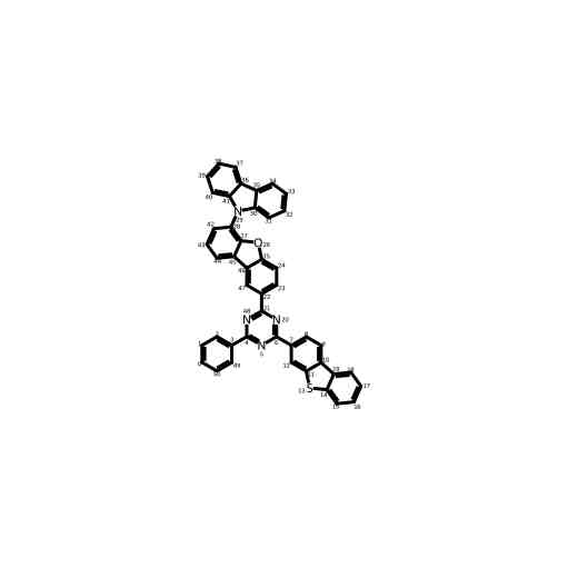 c1ccc(-c2nc(-c3ccc4c(c3)sc3ccccc34)nc(-c3ccc4oc5c(-n6c7ccccc7c7ccccc76)cccc5c4c3)n2)cc1